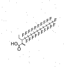 C=C(C(=O)O)C(CC)C(F)(F)C(F)(F)C(F)(F)C(F)(F)C(F)(F)C(F)(F)C(F)(F)C(F)(F)C(F)(F)C(F)(F)F